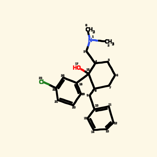 CN(C)CC1CCCC(Cc2ccccc2)C1(O)c1cccc(Cl)c1